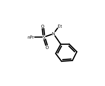 CCCS(=O)(=O)N(CC)c1[c]cccc1